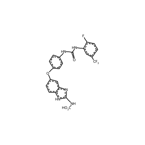 O=C(O)Nc1nc2cc(Oc3ccc(NC(=O)Nc4cc(C(F)(F)F)ccc4F)cc3)ccc2[nH]1